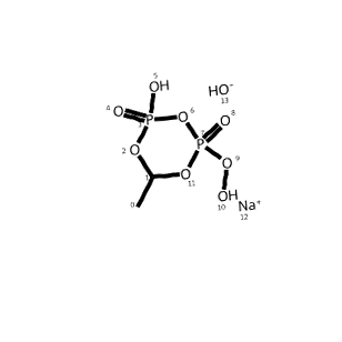 CC1OP(=O)(O)OP(=O)(OO)O1.[Na+].[OH-]